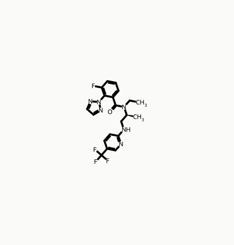 CCN(C(=O)c1cccc(F)c1-n1nccn1)[C@@H](C)CNc1ccc(C(F)(F)F)cn1